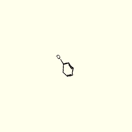 [O]C1C=C[C]=CC1